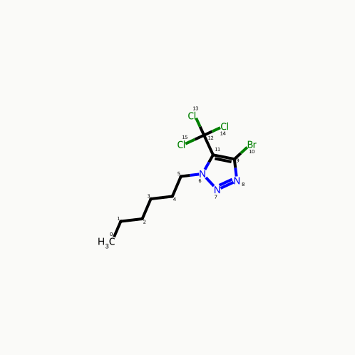 CCCCCCn1nnc(Br)c1C(Cl)(Cl)Cl